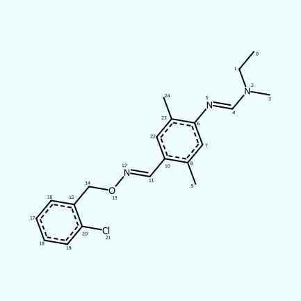 CCN(C)C=Nc1cc(C)c(C=NOCc2ccccc2Cl)cc1C